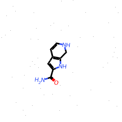 NC(=O)c1cc2c([nH]1)CNC=C2